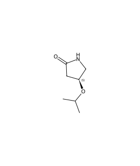 CC(C)O[C@@H]1CNC(=O)C1